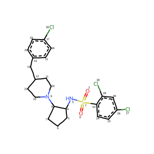 O=S(=O)(NC1CCCC1N1CCC(Cc2ccc(Cl)cc2)CC1)c1ccc(Cl)cc1Cl